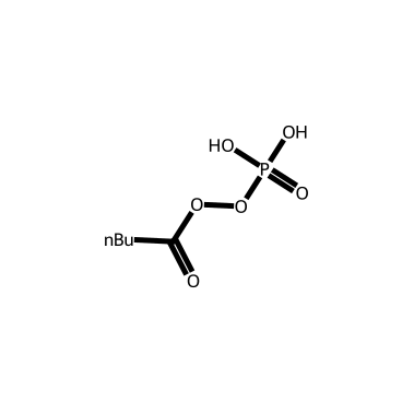 CCCCC(=O)OOP(=O)(O)O